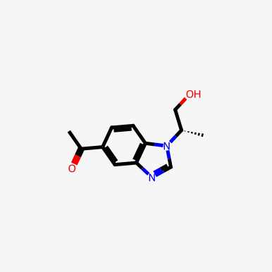 CC(=O)c1ccc2c(c1)ncn2[C@@H](C)CO